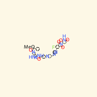 COC(C(=O)N1Cc2[nH]nc(NC(=O)c3ccc(N4CCC(CN5CC6CCC5CN6c5cc6c(cc5F)C(=O)N(C5CCC(=O)NC5=O)C6=O)CC4)cc3)c2C1)c1ccccc1